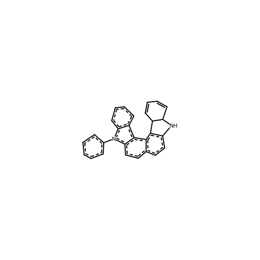 C1=CC2Nc3ccc4ccc5c(c6ccccc6n5-c5ccccc5)c4c3C2C=C1